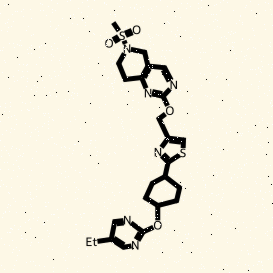 CCc1cnc(OC2CCC(c3nc(COc4ncc5c(n4)CCN(S(C)(=O)=O)C5)cs3)CC2)nc1